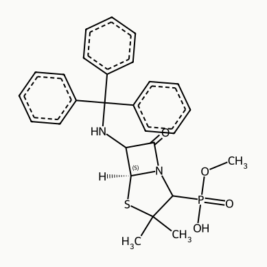 COP(=O)(O)C1N2C(=O)C(NC(c3ccccc3)(c3ccccc3)c3ccccc3)[C@@H]2SC1(C)C